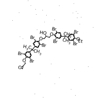 CCOc1c(Br)cc(C(C)(C)c2cc(Br)c(OCC(O)COc3c(Br)cc(C(C)(C)c4cc(Br)c(OCC5CO5)c(Br)c4)cc3Br)c(Br)c2)cc1Br